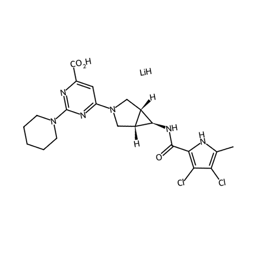 Cc1[nH]c(C(=O)N[C@H]2[C@@H]3CN(c4cc(C(=O)O)nc(N5CCCCC5)n4)C[C@@H]32)c(Cl)c1Cl.[LiH]